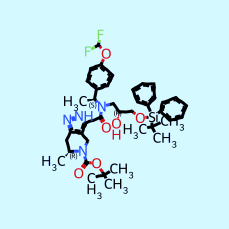 C[C@@H]1Cc2n[nH]c(C(=O)N(C[C@@H](O)CO[Si](c3ccccc3)(c3ccccc3)C(C)(C)C)[C@@H](C)c3ccc(OC(F)F)cc3)c2CN1C(=O)OC(C)(C)C